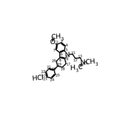 COc1ccc2c(c1)c1c(n2CCCN(C)C)CCC(c2ccccc2)C1.Cl